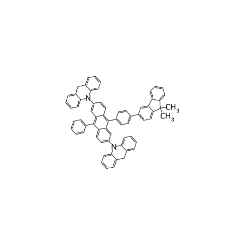 CC1(C)c2ccccc2-c2cc(-c3ccc(-c4c5ccc(N6c7ccccc7Cc7ccccc76)cc5c(-c5ccccc5)c5ccc(N6c7ccccc7Cc7ccccc76)cc45)cc3)ccc21